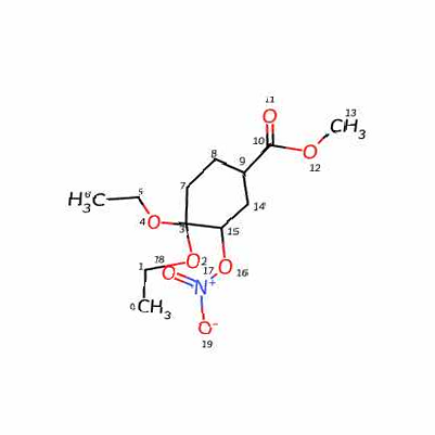 CCOC1(OCC)CCC(C(=O)OC)CC1O[N+](=O)[O-]